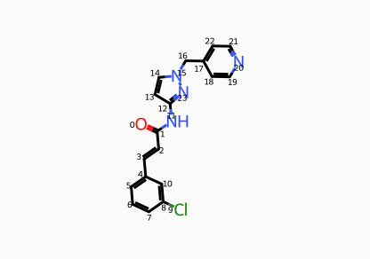 O=C(C=Cc1cccc(Cl)c1)Nc1ccn(Cc2ccncc2)n1